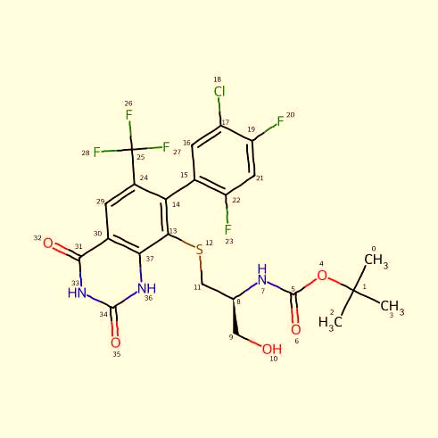 CC(C)(C)OC(=O)N[C@@H](CO)CSc1c(-c2cc(Cl)c(F)cc2F)c(C(F)(F)F)cc2c(=O)[nH]c(=O)[nH]c12